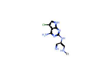 CCN/C=C(\C=N)Nc1nc(N)c2c(Cl)c[nH]c2n1